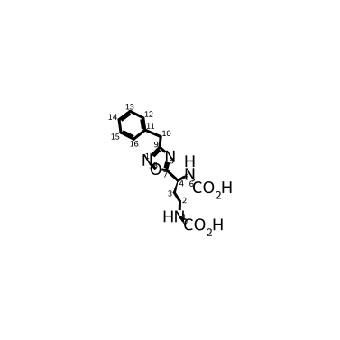 O=C(O)NCC[C@H](NC(=O)O)c1nc(Cc2ccccc2)no1